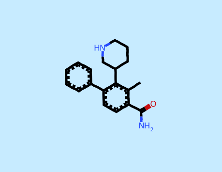 Cc1c(C(N)=O)ccc(-c2ccccc2)c1C1CCCNC1